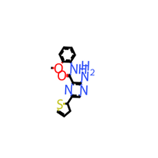 COc1ccccc1NC(=O)c1nc(C2CC=CS2)cnc1N